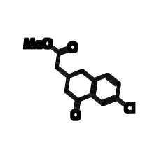 COC(=O)CC1CC(=O)c2cc(Cl)ccc2C1